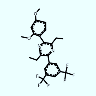 CCc1nc(-c2ccc(OC)cc2OC)c(CC)nc1-c1cc(C(F)(F)F)cc(C(F)(F)F)c1